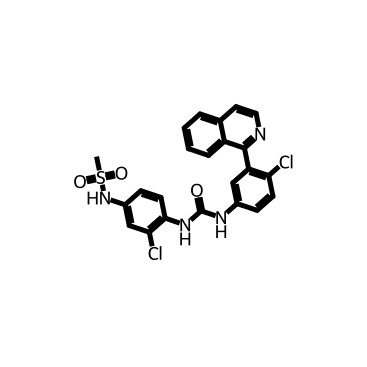 CS(=O)(=O)Nc1ccc(NC(=O)Nc2ccc(Cl)c(-c3nccc4ccccc34)c2)c(Cl)c1